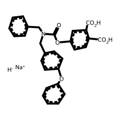 O=C(O)c1ccc(OC(=O)N(Cc2ccccc2)Cc2ccc(Oc3ccccc3)cc2)cc1C(=O)O.[H-].[Na+]